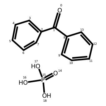 O=C(c1ccccc1)c1ccccc1.O=P(O)(O)O